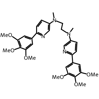 COc1cc(-c2ccc(N(C)CCN(C)c3ccc(-c4cc(OC)c(OC)c(OC)c4)nc3)cn2)cc(OC)c1OC